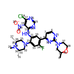 CC1CN(c2nccc(-c3cc(Nc4ncnc(Cl)c4[N+](=O)[O-])c(N4C[C@@H](C)N(C)[C@@H](C)C4)cc3F)n2)CCO1